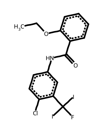 CCOc1ccccc1C(=O)Nc1ccc(Cl)c(C(F)(I)I)c1